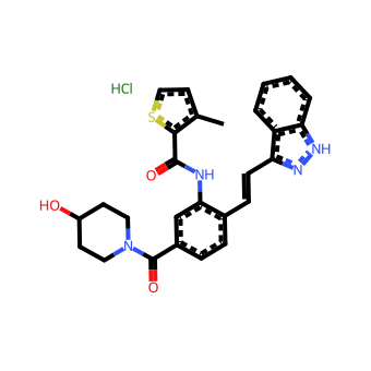 Cc1ccsc1C(=O)Nc1cc(C(=O)N2CCC(O)CC2)ccc1C=Cc1n[nH]c2ccccc12.Cl